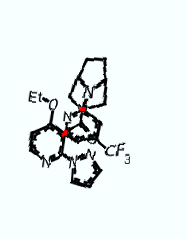 CCOc1ccnc(-n2cccn2)c1C(=O)N1CC2CCC(C1)N2c1cc(C(F)(F)F)ccn1